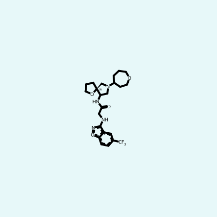 O=C(CNc1noc2ccc(C(F)(F)F)cc12)NC1CN(C2CCCOCC2)C[C@@]12CCCO2